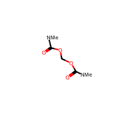 CNC(=O)OCOC(=O)NC